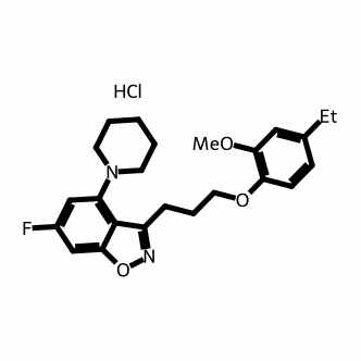 CCc1ccc(OCCCc2noc3cc(F)cc(N4CCCCC4)c23)c(OC)c1.Cl